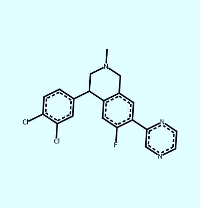 CN1Cc2cc(-c3cnccn3)c(F)cc2C(c2ccc(Cl)c(Cl)c2)C1